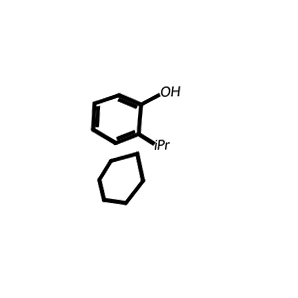 C1CCCCC1.CC(C)c1ccccc1O